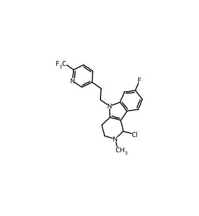 CN1CCc2c(c3ccc(F)cc3n2CCc2ccc(C(F)(F)F)nc2)C1Cl